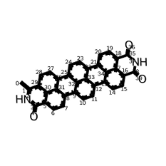 C=c1[nH]c(=O)c2ccc3c4ccc5c6ccc7c8c(ccc(c9ccc(c%10ccc1c2c%103)c4c95)c86)C(=O)NC7=O